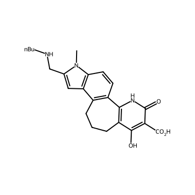 CCCCNCc1cc2c3c(ccc2n1C)-c1[nH]c(=O)c(C(=O)O)c(O)c1CCC3